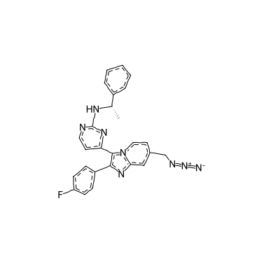 C[C@H](Nc1nccc(-c2c(-c3ccc(F)cc3)nc3cc(CN=[N+]=[N-])ccn23)n1)c1ccccc1